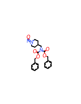 O=NN1CCC(CN(C(=O)OCc2ccccc2)C(=O)OCc2ccccc2)CC1